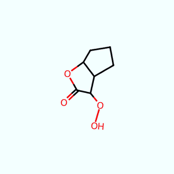 O=C1OC2CCCC2C1OO